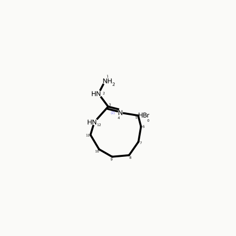 Br.NN/C1=N\CCCCCCCN1